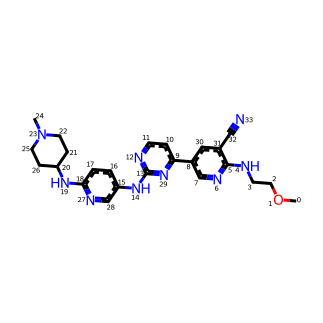 COCCNc1ncc(-c2ccnc(Nc3ccc(NC4CCN(C)CC4)nc3)n2)cc1C#N